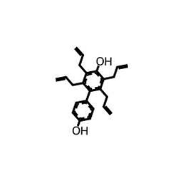 C=CCc1c(O)c(CC=C)c(CC=C)c(-c2ccc(O)cc2)c1CC=C